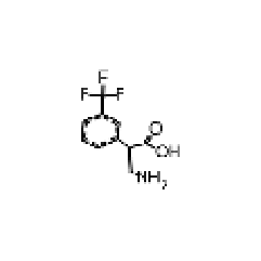 NCC(C(=O)O)c1cccc(C(F)(F)F)c1